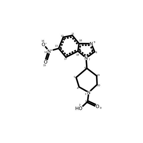 O=C(O)N1CCC(n2cnc3ccc([N+](=O)[O-])cc32)CC1